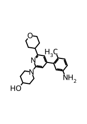 Cc1ccc(N)cc1-c1cc(C2CCOCC2)nc(N2CCC(O)CC2)c1